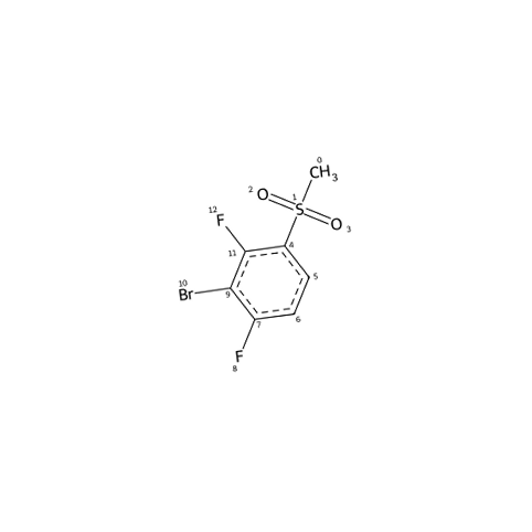 CS(=O)(=O)c1ccc(F)c(Br)c1F